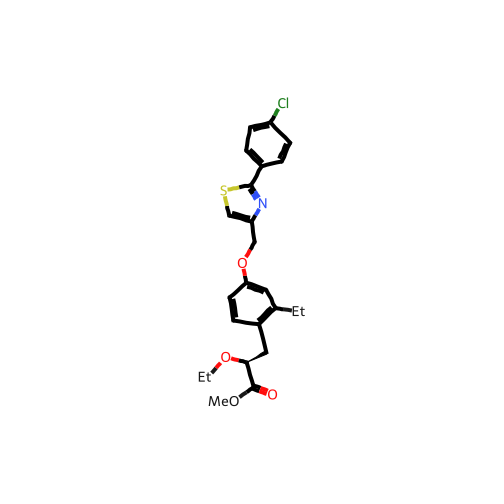 CCO[C@@H](Cc1ccc(OCc2csc(-c3ccc(Cl)cc3)n2)cc1CC)C(=O)OC